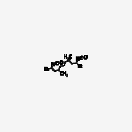 CCC(CC(C)CCCC(C)CC(CC)N=C=O)N=C=O